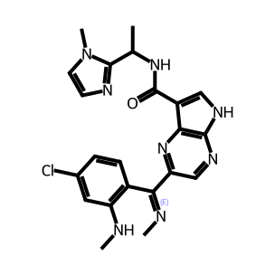 C/N=C(/c1cnc2[nH]cc(C(=O)NC(C)c3nccn3C)c2n1)c1ccc(Cl)cc1NC